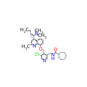 C=C/C=C(/c1cc(C)nc2c(OCc3c(Cl)cncc3CNC(=O)C3CCCCCC3)cccc12)N(C)C